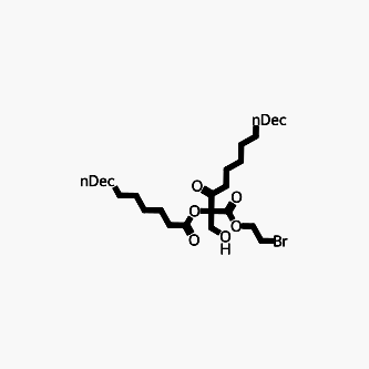 CCCCCCCCCCCCCCCC(=O)OC(CO)(C(=O)CCCCCCCCCCCCCCC)C(=O)OCCBr